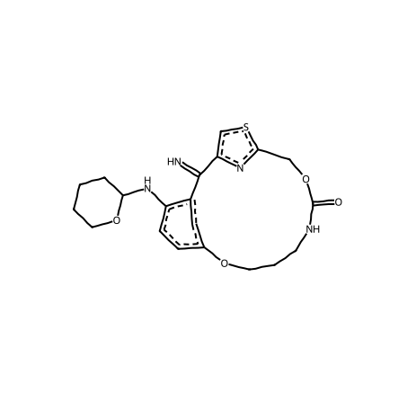 N=C1c2csc(n2)COC(=O)NCCCOc2ccc(NC3CCCCO3)c1c2